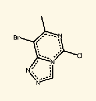 Cc1nc(Cl)n2cnnc2c1Br